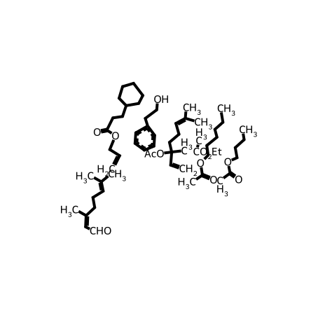 C=CC(C)(CCC=C(C)C)OC(C)=O.C=CCOC(=O)CCC1CCCCC1.CC(C)=CCCC(C)=CC=O.CCCCCCOC(C)=O.CCCCOC(C)=O.CCOC(C)=O.OCCc1ccccc1